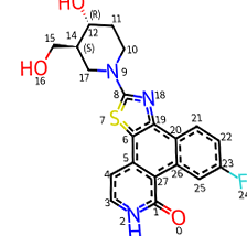 O=c1[nH]ccc2c3sc(N4CC[C@@H](O)[C@H](CO)C4)nc3c3ccc(F)cc3c12